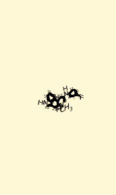 CN1C[C@H](Nc2ccc(F)cc2)C[C@H]2c3cccc4[nH]cc(c34)C[C@H]21